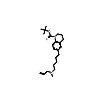 C=CCN(C)CCCCCc1ccc2c(c1)CCCN2C(=O)OC(C)(C)C